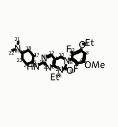 CCOc1cc(OC)c(F)c(N2Cc3cnc(NC4CCC(N(C)C)CC4)nc3N(CC)C2=O)c1F